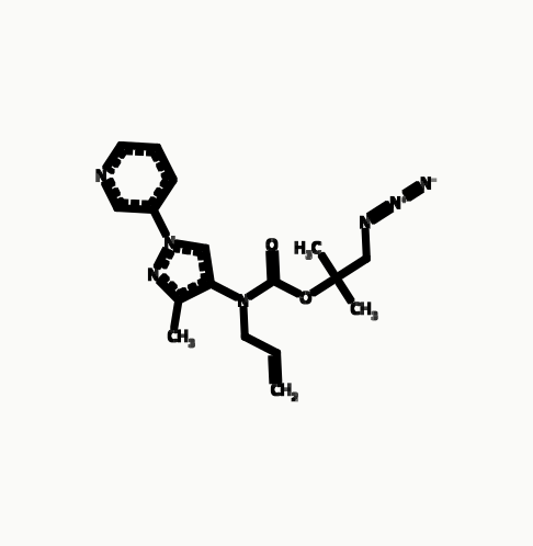 C=CCN(C(=O)OC(C)(C)CN=[N+]=[N-])c1cn(-c2cccnc2)nc1C